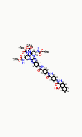 CC(C)(C)OC(=O)N[C@@H]1C[C@H](NC(=O)OC(C)(C)C)CN(c2nc3ccc(NC(=O)c4ccc(NC(=O)c5ccc(NC(=O)c6ccc7ccccc7c6O)cc5)cc4)cc3nc2N2C[C@H](NC(=O)OC(C)(C)C)C[C@H](NC(=O)OC(C)(C)C)C2)C1